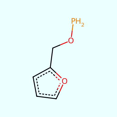 POCc1ccco1